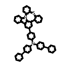 c1ccc(-c2ccc(N(c3ccc(-c4ccccc4)cc3)c3ccc(-c4cc5c6ccccc6sc6ccccc6n6c7ccccc7c(c4)c56)cc3)cc2)cc1